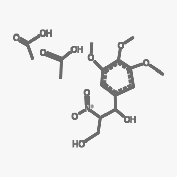 CC(=O)O.CC(=O)O.COc1cc(C(O)C(CO)[N+](=O)[O-])cc(OC)c1OC